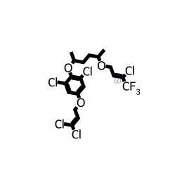 CC(CCC(C)Oc1c(Cl)cc(OCC=C(Cl)Cl)cc1Cl)OC/C=C(\Cl)C(F)(F)F